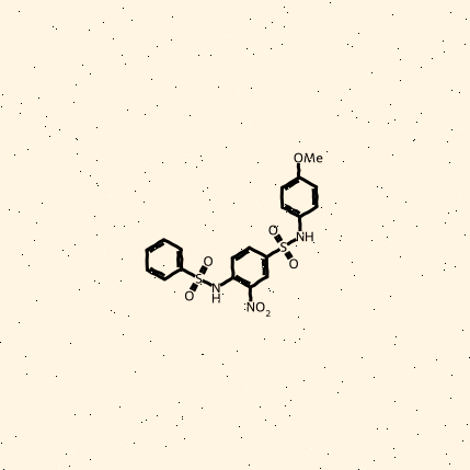 COc1ccc(NS(=O)(=O)c2ccc(NS(=O)(=O)c3ccccc3)c([N+](=O)[O-])c2)cc1